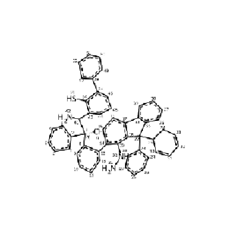 C[C@@](c1ccccc1)(c1ccccc1-c1ccc2c(c1NN)C(c1ccccc1)(C1C=CC=CC1)c1ccccc1-2)C(N)c1cccc(-c2ccccc2)c1S